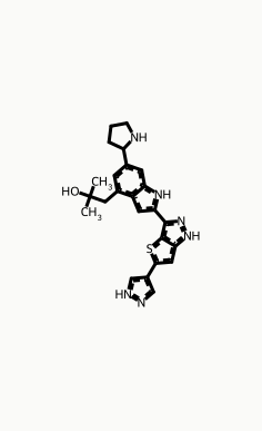 CC(C)(O)Cc1cc(C2CCCN2)cc2[nH]c(-c3n[nH]c4cc(-c5cn[nH]c5)sc34)cc12